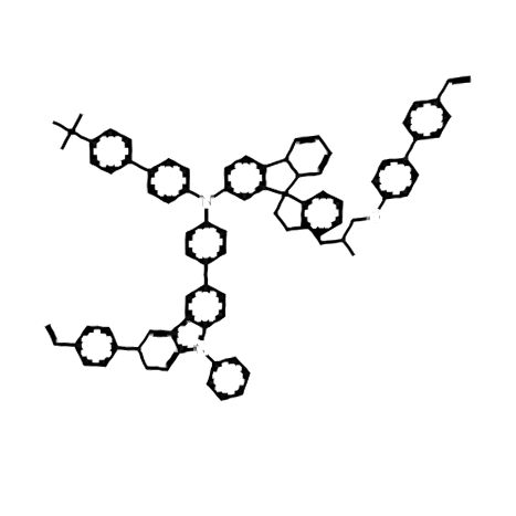 C=Cc1ccc(-c2ccc(OCC(C)CCCCC3(c4ccccc4)c4cc(N(c5ccc(-c6ccc(C(C)(C)C)cc6)cc5)c5ccc(-c6ccc7c(c6)c6c(n7-c7ccccc7)=CCC(c7ccc(C=C)cc7)C=6)cc5)ccc4C4C=CC=CC43)cc2)cc1